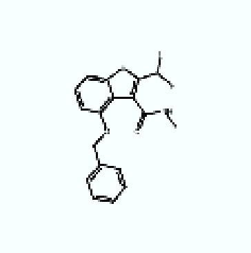 CNC(=O)c1c(C(F)F)sc2cccc(OCc3ccccc3)c12